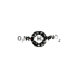 O=[N+]([O-])c1ccc(/N=N/c2cc3c(O)c(c2)COCCOCCOCCOCCOCc2cc(/N=N/c4ccc([N+](=O)[O-])cc4)cc(c2O)COCCOCCOCCOCCOC3)cc1